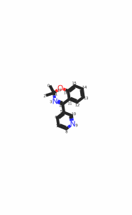 CC1(C)N=C(c2cccnc2)c2ccccc2O1